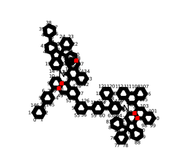 c1ccc(-c2ccc(-c3ccc(N(c4ccc5c(c4)C(c4ccccc4)(c4ccccc4)c4cc(-c6ccccc6)ccc4-5)c4c(-c5cccc6cc(-c7cccc(-c8ccc(-c9ccc(N(c%10ccc%11c(c%10)C(c%10ccccc%10)(c%10ccccc%10)c%10ccccc%10-%11)c%10c(-c%11ccc%12ccccc%12c%11)c%11ccccc%11c%11ccccc%10%11)cc9-c9ccccc9)cc8)c7)ccc56)c5ccccc5c5ccccc45)cc3)cc2)cc1